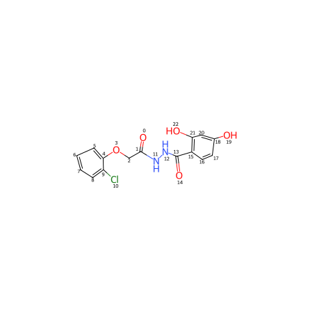 O=C(COc1ccccc1Cl)NNC(=O)c1ccc(O)cc1O